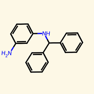 Nc1cccc(NC(c2ccccc2)c2ccccc2)c1